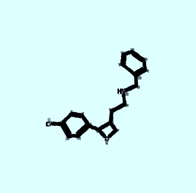 Clc1ccc(C2OCC2CCNCc2ccccc2)cc1